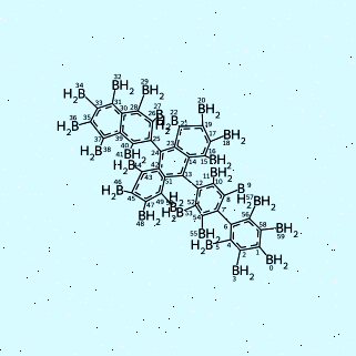 Bc1c(B)c(B)c(-c2c(B)c(B)c(-c3c4c(B)c(B)c(B)c(B)c4c(-c4c(B)c(B)c5c(B)c(B)c(B)c(B)c5c4B)c4c(B)c(B)c(B)c(B)c34)c(B)c2B)c(B)c1B